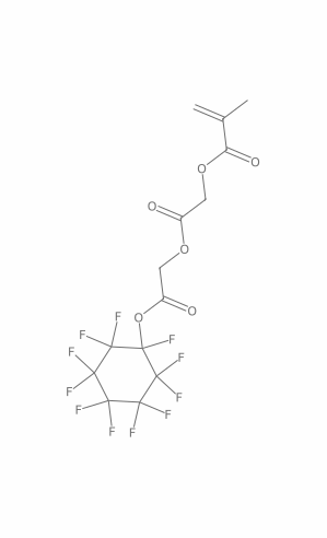 C=C(C)C(=O)OCC(=O)OCC(=O)OC1(F)C(F)(F)C(F)(F)C(F)(F)C(F)(F)C1(F)F